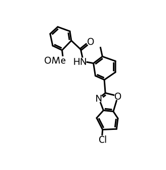 COc1ccccc1C(=O)Nc1cc(-c2nc3cc(Cl)ccc3o2)ccc1C